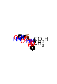 C[C@H](NP(=O)(OC[C@@H]1O[C@H](n2ccc(=O)[nH]c2=O)CS1)Oc1ccccc1)C(=O)O